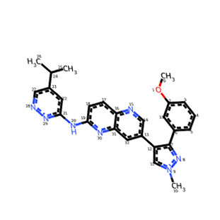 COc1cccc(-c2nn(C)cc2-c2cnc3ccc(Nc4cc(C(C)C)cnn4)nc3c2)c1